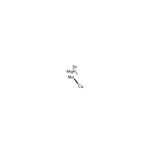 [Cu][Mo].[MgH2].[Zn]